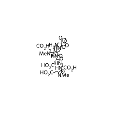 CN[C@@H](CCC(=O)O)C(=O)N[C@@H](CNC(=O)[C@H](CCC(=O)O)NC(=O)[C@H](CNC(=O)[C@H](CN)N1C(=O)C=CC1=O)NC(=O)[C@H](CCC(=O)O)NC)C(=O)O